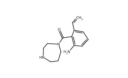 C=Cc1cccc(N)c1C(=O)N1CCCNCC1